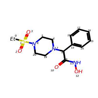 CCS(=O)(=O)N1CCN(C(C(=O)NO)c2ccccc2)CC1